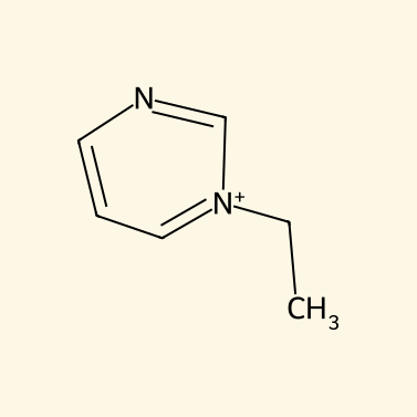 CC[n+]1cccnc1